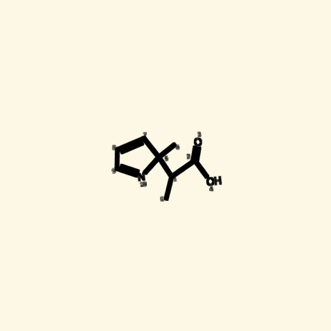 CC(C(=O)O)C1(C)C=CC=N1